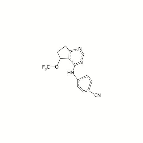 N#Cc1ccc(Nc2ncnc3c2C(OC(F)(F)F)CC3)cc1